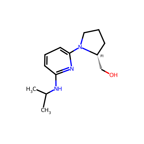 CC(C)Nc1cccc(N2CCC[C@@H]2CO)n1